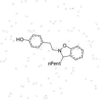 CCCCCC1c2ccccc2ON1CCc1ccc(O)cc1